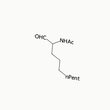 CCCCCCCCC([C]=O)NC(C)=O